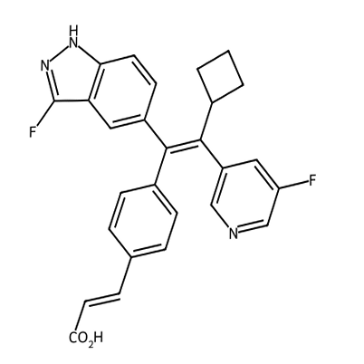 O=C(O)C=Cc1ccc(C(=C(c2cncc(F)c2)C2CCC2)c2ccc3[nH]nc(F)c3c2)cc1